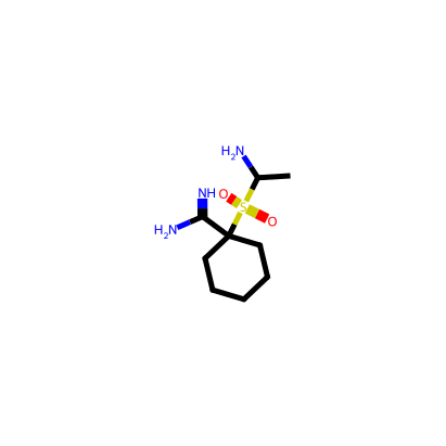 CC(N)S(=O)(=O)C1(C(=N)N)CCCCC1